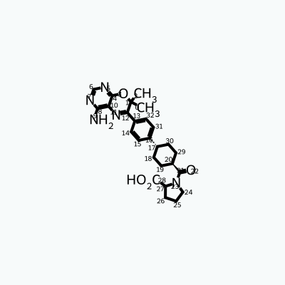 CC1(C)Oc2ncnc(N)c2N=C1c1ccc([C@H]2CC[C@H](C(=O)N3CCCC3C(=O)O)CC2)cc1